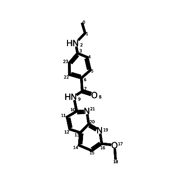 CCNc1ccc(C(=O)Nc2ccc3ccc(OC)nc3n2)cc1